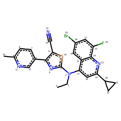 CCN(c1nc(-c2ccc(C)nc2)c(C#N)s1)c1cc(C2CC2)nc2c(F)cc(Br)cc12